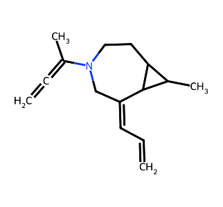 C=C=C(C)N1CCC2C(C)C2/C(=C\C=C)C1